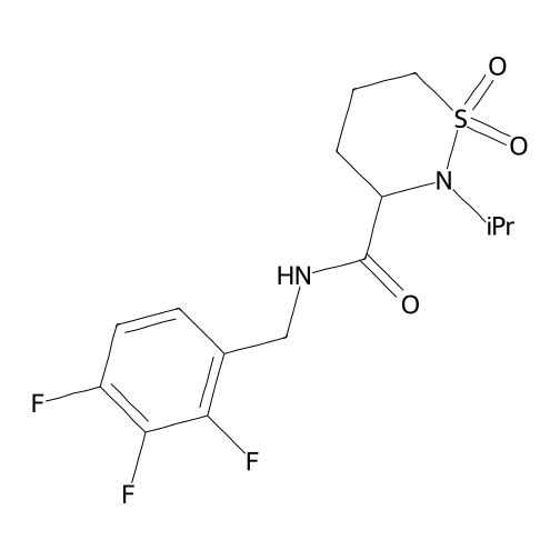 CC(C)N1C(C(=O)NCc2ccc(F)c(F)c2F)CCCS1(=O)=O